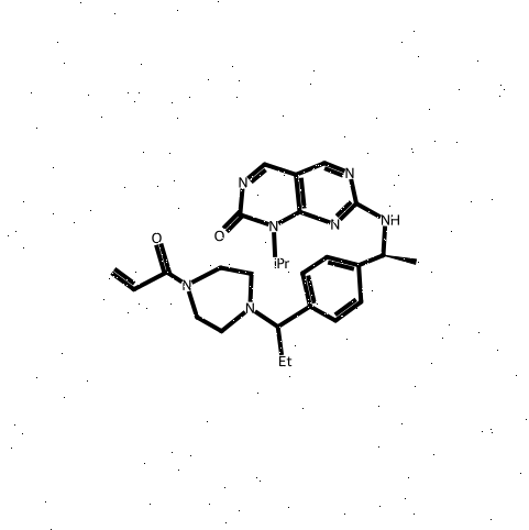 C=CC(=O)N1CCN(C(CC)c2ccc([C@H](C)Nc3ncc4cnc(=O)n(C(C)C)c4n3)cc2)CC1